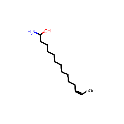 CCCCCCCC/C=C\CCCCCCCCCCC(N)O